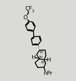 CCCC1CC[C@@H]2C[C@H](c3ccc(-c4ccc(OCC(F)(F)F)cc4)cc3)CC[C@@H]2C1